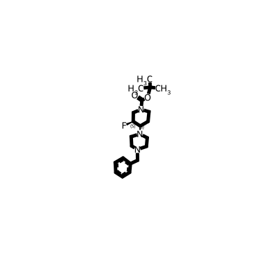 CC(C)(C)OC(=O)N1CC[C@H](N2CCN(Cc3ccccc3)CC2)[C@@H](F)C1